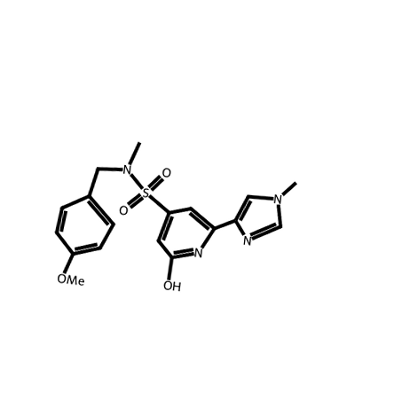 COc1ccc(CN(C)S(=O)(=O)c2cc(O)nc(-c3cn(C)cn3)c2)cc1